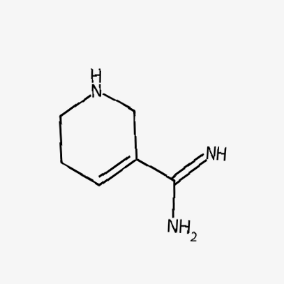 N=C(N)C1=CCCNC1